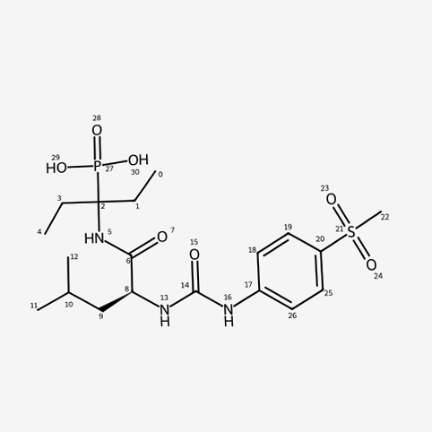 CCC(CC)(NC(=O)[C@H](CC(C)C)NC(=O)Nc1ccc(S(C)(=O)=O)cc1)P(=O)(O)O